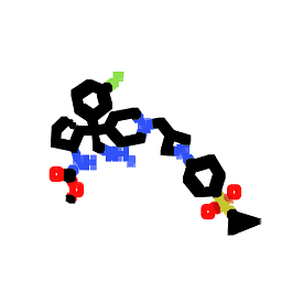 COC(=O)N[C@H]1CCC[C@@H]1[C@](CN)(c1cccc(F)c1)C1CCN(CC2CN(c3ccc(S(=O)(=O)C4CC4)cc3)C2)CC1